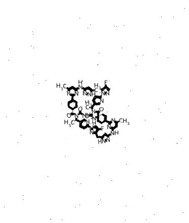 Cc1cc(Nc2cc(C)[nH]n2)nc(C2=CC[C@@H](C(=O)N(C(N)=O)[C@@H](C)c3ccc(-n4cc(F)c(Cc5cc(Nc6cc(C)nc(C7=CC[C@]8(CC7)NC(=O)N([C@@H](C)c7ccc(-n9cc(F)cn9)nc7)C8=O)n6)n[nH]5)n4)nc3)CC2)n1